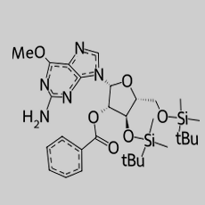 COc1nc(N)nc2c1ncn2[C@@H]1O[C@H](CO[Si](C)(C)C(C)(C)C)[C@@H](O[Si](C)(C)C(C)(C)C)[C@@H]1OC(=O)c1ccccc1